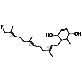 C/C(=C\CC/C(C)=C/CC/C(C)=C/CC1C(O)C=CC(O)C1C)CF